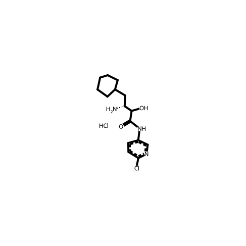 Cl.N[C@H](CC1CCCCC1)C(O)C(=O)Nc1ccc(Cl)nc1